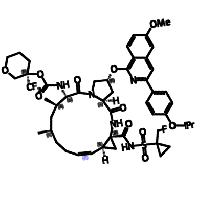 COc1ccc2c(O[C@@H]3C[C@H]4C(=O)N[C@]5(C(=O)NS(=O)(=O)C6(CF)CC6)C[C@H]5/C=C\CC[C@@H](C)C[C@@H](C)[C@H](NC(=O)O[C@]5(C(F)(F)F)CCCOC5)C(=O)N4C3)nc(-c3ccc(OC(C)C)cc3)cc2c1